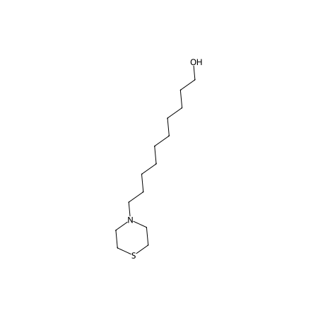 OCCCCCCCCCCN1CCSCC1